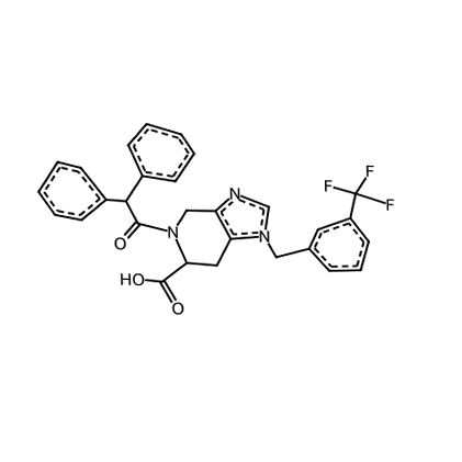 O=C(O)C1Cc2c(ncn2Cc2cccc(C(F)(F)F)c2)CN1C(=O)C(c1ccccc1)c1ccccc1